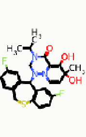 CC(C)N1CN(C2c3cc(F)ccc3CSc3ccc(F)cc32)N2C=CC(C)(O)C(O)=C2C1=O